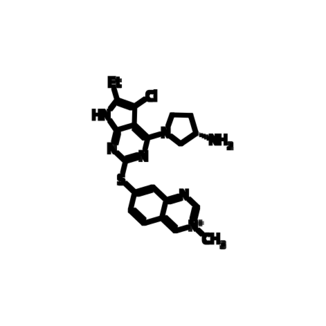 CCc1[nH]c2nc(Sc3ccc4c[n+](C)cnc4c3)nc(N3CC[C@H](N)C3)c2c1Cl